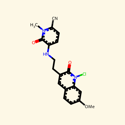 COc1ccc2cc(CCNc3ccc(C#N)n(C)c3=O)c(=O)n(Cl)c2c1